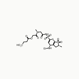 CCN[C@H]1C=C(S(=O)(=O)NC(=O)CN(C)C(=O)COC(=O)CCC(=O)O)SC2=C1C[C@H](C)S2(=O)=O